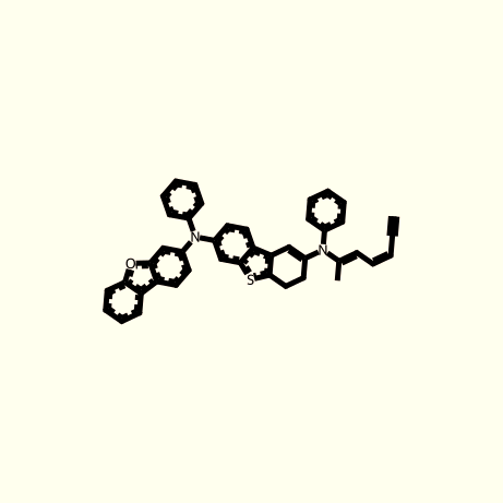 C#C/C=C\C=C(/C)N(C1=Cc2c(sc3cc(N(c4ccccc4)c4ccc5c(c4)oc4ccccc45)ccc23)CC1)c1ccccc1